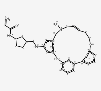 C=CC(=O)NC1CCC(CNc2cc3cc(c2)Nc2nccc(n2)-c2cccc(c2)OCC/C=C/CN(C)C3)C1